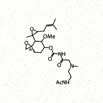 COC1C(OC(=O)NC(=O)CN(C)CCNC(C)=O)CC[C@]2(CO2)C1C1(C)OC1CC=C(C)C